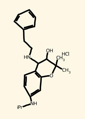 CC(C)Nc1ccc2c(c1)OC(C)(C)C(O)C2NCCc1ccccc1.Cl